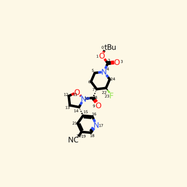 CC(C)(C)OC(=O)N1CC[C@@H](C(=O)N2OCC[C@H]2c2cncc(C#N)c2)[C@H](F)C1